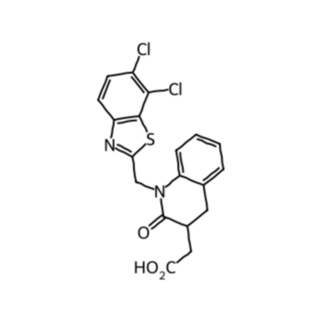 O=C(O)CC1Cc2ccccc2N(Cc2nc3ccc(Cl)c(Cl)c3s2)C1=O